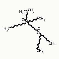 CCCCCCCCCN(C(=O)CCCN(C)C)C(CCCCCC)CCCCCC(=O)OCC(CCCCCC)CCCCCCCC